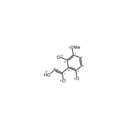 COc1ccc(Cl)c(C(Cl)=NO)c1Cl